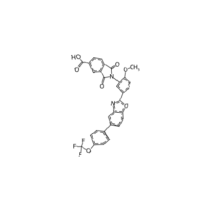 COc1ccc(-c2nc3cc(-c4ccc(OC(F)(F)F)cc4)ccc3o2)cc1N1C(=O)c2ccc(C(=O)O)cc2C1=O